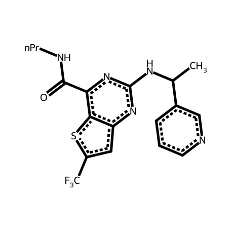 CCCNC(=O)c1nc(NC(C)c2cccnc2)nc2cc(C(F)(F)F)sc12